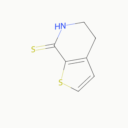 S=C1NCCc2ccsc21